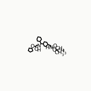 CC(C)(C)OC(=O)NCC1CCC([C@H](NCC(=O)OC2CCCC2)C2CCCCC2)CC1